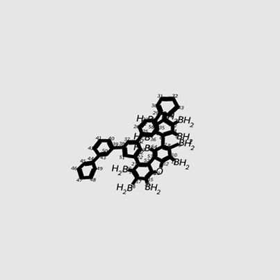 Bc1c(B)c(B)c(-c2c(B)c(B)c3oc4c(B)c(B)c(B)c(-c5cc(-c6ccc(-c7ccccc7)cc6)cc(-c6cccc(-c7ccccc7)c6)c5)c4c3c2B)c(B)c1B